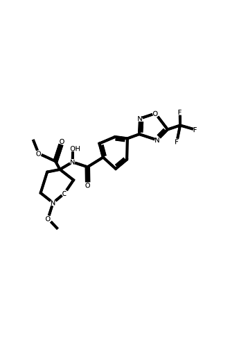 COC(=O)C1(N(O)C(=O)c2ccc(-c3noc(C(F)(F)F)n3)cc2)CCN(OC)CC1